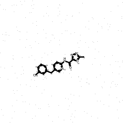 Cc1nnc(C(=O)Nc2ccc(Cc3cccc(Cl)c3)cn2)o1